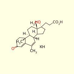 CC1=C[C@@H]2[C@H](CC[C@@]3(C)[C@H]2CC[C@]3(O)CCC(=O)O)[C@@]2(C)CCC(=O)C=C12.[KH]